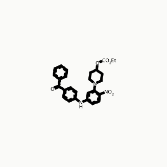 CCOC(=O)OC1CCN(c2cc(Nc3ccc(C(=O)c4ccccc4)cc3)ccc2[N+](=O)[O-])CC1